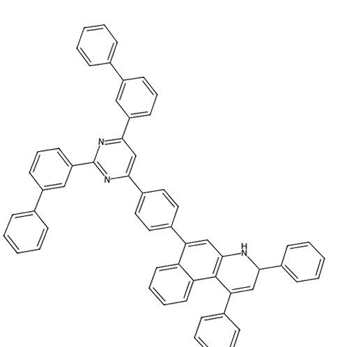 C1=C(c2ccccc2)c2c(cc(-c3ccc(-c4cc(-c5cccc(-c6ccccc6)c5)nc(-c5cccc(-c6ccccc6)c5)n4)cc3)c3ccccc23)NC1c1ccccc1